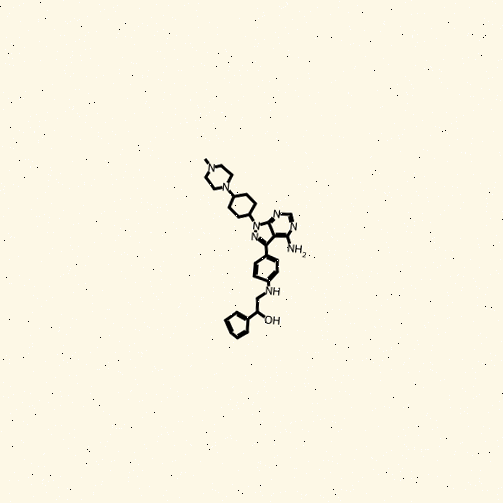 CN1CCN(C2CCC(n3nc(-c4ccc(NCC(O)c5ccccc5)cc4)c4c(N)ncnc43)CC2)CC1